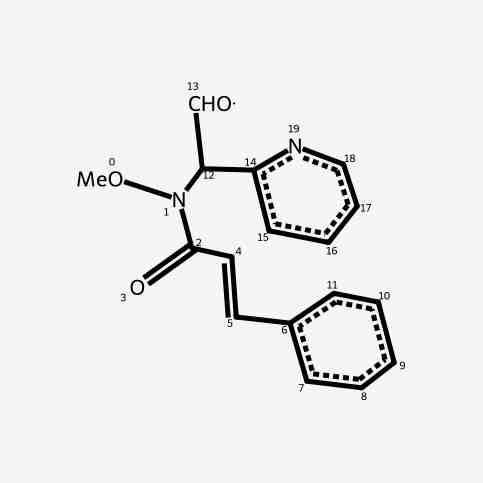 CON(C(=O)C=Cc1ccccc1)C([C]=O)c1ccccn1